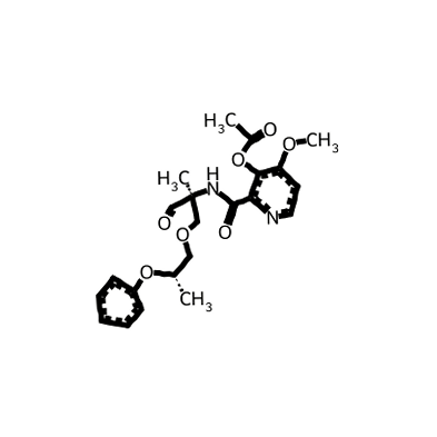 COc1ccnc(C(=O)N[C@](C)(C=O)COC[C@H](C)Oc2ccccc2)c1OC(C)=O